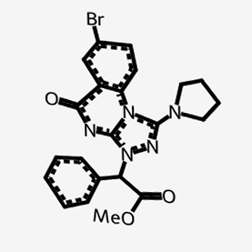 COC(=O)C(c1ccccc1)n1nc(N2CCCC2)n2c3ccc(Br)cc3c(=O)nc12